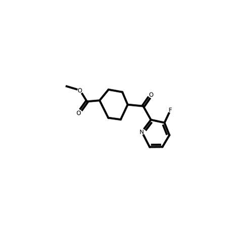 COC(=O)C1CCC(C(=O)c2ncccc2F)CC1